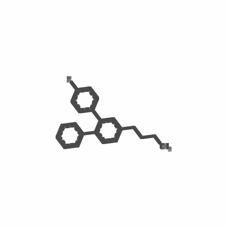 CCCCc1ccc(-c2ccccc2)c(-c2ccc(F)cc2)c1